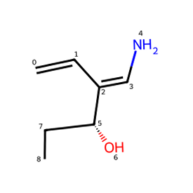 C=C/C(=C\N)[C@H](O)CC